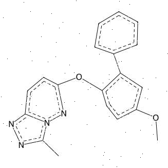 COc1ccc(Oc2ccc3nnc(C)n3n2)c(-c2ccccc2)c1